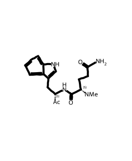 CN[C@@H](CCC(N)=O)C(=O)N[C@@H](Cc1c[nH]c2ccccc12)C(C)=O